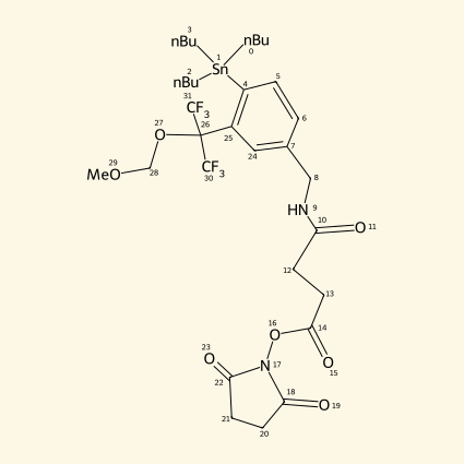 CCC[CH2][Sn]([CH2]CCC)([CH2]CCC)[c]1ccc(CNC(=O)CCC(=O)ON2C(=O)CCC2=O)cc1C(OCOC)(C(F)(F)F)C(F)(F)F